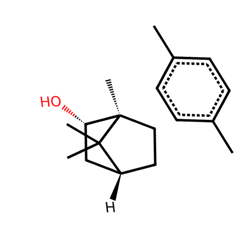 CC1(C)[C@@H]2CC[C@]1(C)[C@@H](O)C2.Cc1ccc(C)cc1